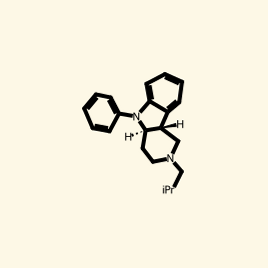 CC(C)CN1CC[C@@H]2[C@@H](C1)c1ccccc1N2c1ccccc1